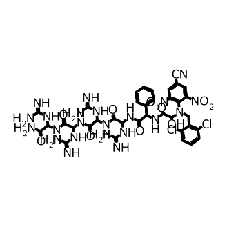 N#Cc1cc([N+](=O)[O-])c(N(Cc2c(Cl)cccc2Cl)C(O)C(=O)NC(C(=O)NC(NC(=N)N)C(=O)NC(NC(=N)N)C(=O)NC(NC(=N)N)C(=O)NC(NC(=N)N)C(N)=O)c2ccccc2)c([N+](=O)[O-])c1